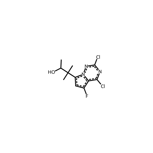 CC(O)C(C)(C)c1cc(F)c2c(Cl)nc(Cl)nn12